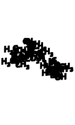 Cc1cc(N(CCCCN(C)C(=O)CCCCCCCCCCC(=O)N[C@H](C(=O)N2C[C@H](O)C[C@H]2C(=O)N[C@@H](C)c2ccc(-c3scnc3C)cc2)C(C)(C)C)c2ccc(-c3cnn(CC45CC6(C)CC(C)(C4)CC(OCCN(C)C)(C6)C5)c3C)c(C(=O)O)n2)nnc1Nc1nc2ccccc2s1